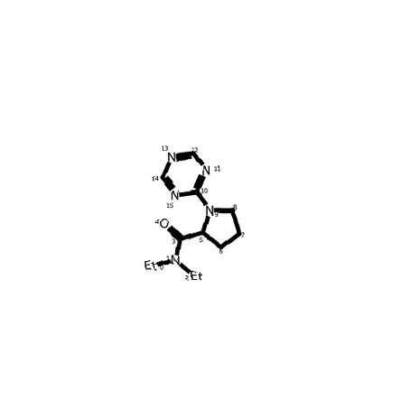 CCN(CC)C(=O)C1CCCN1c1ncncn1